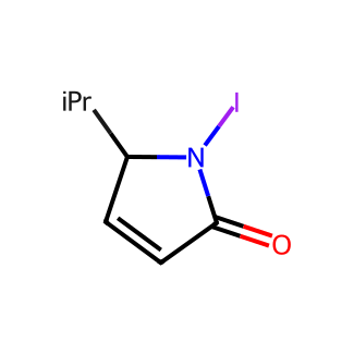 CC(C)C1C=CC(=O)N1I